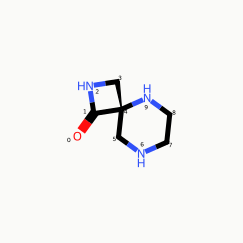 O=C1NC[C@@]12CNCCN2